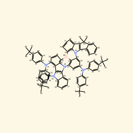 CC(C)(C)c1ccc(N(c2ccc(C(C)(C)C)cc2)c2cc3c4c(c2)-n2c5c(ccc(N(c6ccc(C(C)(C)C)cc6)c6ccc(C(C)(C)C)cc6)c5c5c2c2ccccc2n5-c2ccccc2)B4c2cccc4c5c(n-3c24)-c2ccccc2C5(C)C)cc1